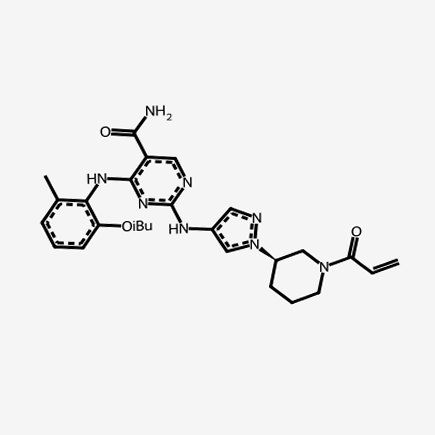 C=CC(=O)N1CCC[C@@H](n2cc(Nc3ncc(C(N)=O)c(Nc4c(C)cccc4OCC(C)C)n3)cn2)C1